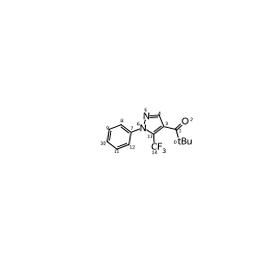 CC(C)(C)C(=O)c1cnn(-c2ccccc2)c1C(F)(F)F